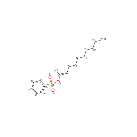 O=S(=O)(OC(F)=CCCCCCCCF)c1ccccc1